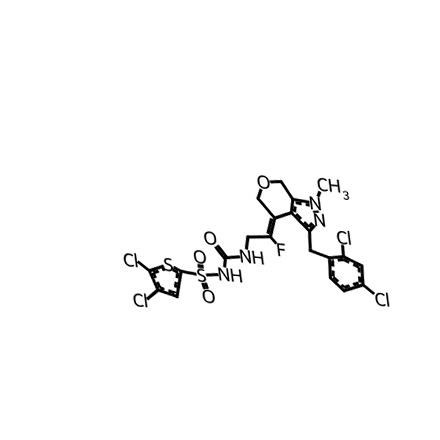 Cn1nc(Cc2ccc(Cl)cc2Cl)c2c1COCC2=C(F)CNC(=O)NS(=O)(=O)c1cc(Cl)c(Cl)s1